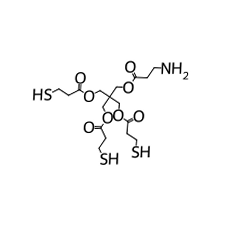 NCCC(=O)OCC(COC(=O)CCS)(COC(=O)CCS)COC(=O)CCS